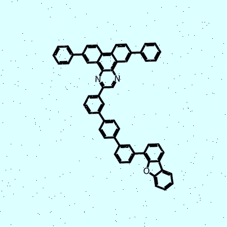 c1ccc(-c2ccc3c4ccc(-c5ccccc5)cc4c4nc(-c5cccc(-c6ccc(-c7cccc(-c8cccc9c8oc8ccccc89)c7)cc6)c5)cnc4c3c2)cc1